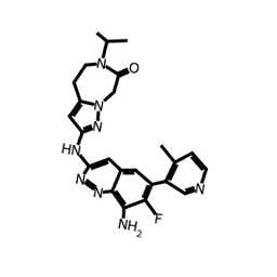 Cc1ccncc1-c1cc2cc(Nc3cc4n(n3)CC(=O)N(C(C)C)CC4)nnc2c(N)c1F